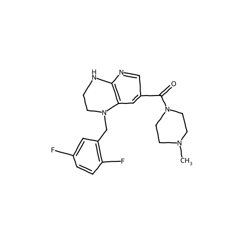 CN1CCN(C(=O)c2cnc3c(c2)N(Cc2cc(F)ccc2F)CCN3)CC1